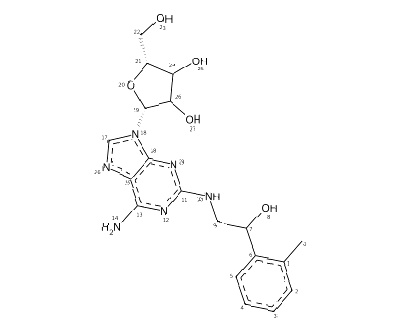 Cc1ccccc1C(O)CNc1nc(N)c2ncn([C@@H]3O[C@H](CO)C(O)C3O)c2n1